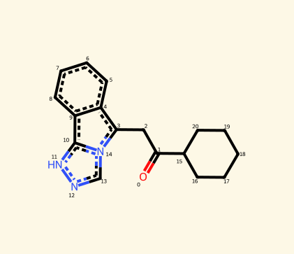 O=C(Cc1c2ccccc2c2[nH]ncn12)C1CCCCC1